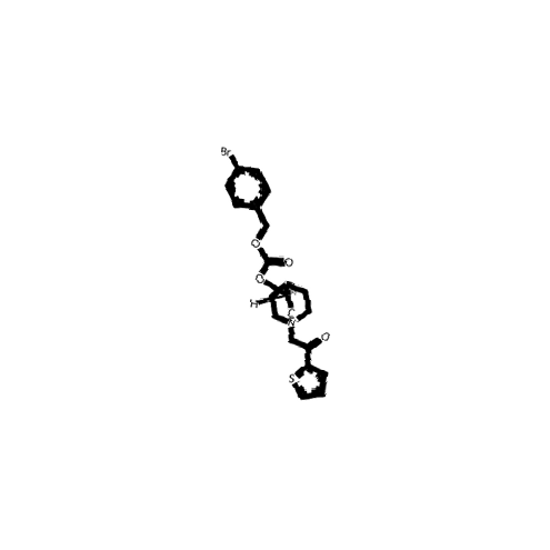 O=C(OCc1ccc(Br)cc1)O[C@H]1C[N+]2(CC(=O)c3cccs3)CCC1CC2